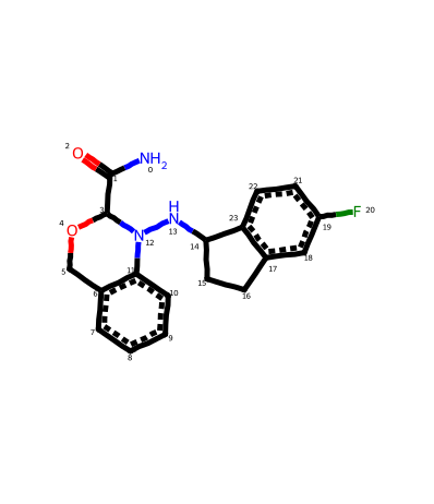 NC(=O)C1OCc2c[c]ccc2N1NC1CCc2cc(F)ccc21